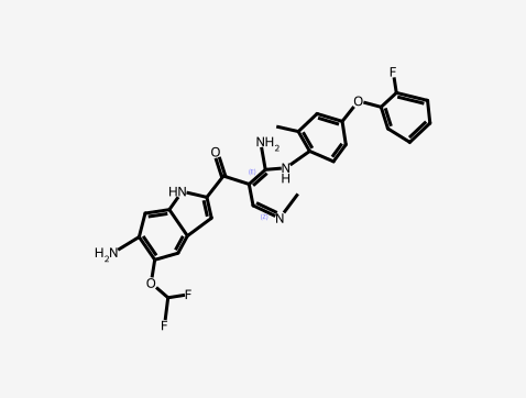 C/N=C\C(C(=O)c1cc2cc(OC(F)F)c(N)cc2[nH]1)=C(\N)Nc1ccc(Oc2ccccc2F)cc1C